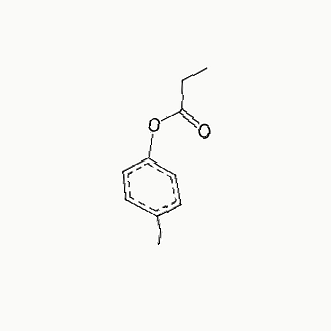 CCC(=O)Oc1ccc(C)cc1